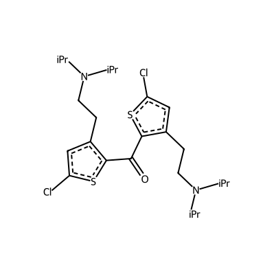 CC(C)N(CCc1cc(Cl)sc1C(=O)c1sc(Cl)cc1CCN(C(C)C)C(C)C)C(C)C